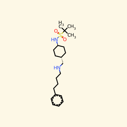 CC(C)(C)S(=O)(=O)N[C@H]1CC[C@H](CNCCCCc2ccccc2)CC1